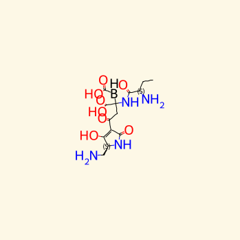 CC[C@H](N)C(=O)NC(BC(=O)O)(CC(=O)C1=C(O)[C@H](CN)NC1=O)C(=O)O